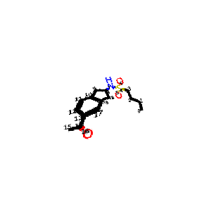 CCCCS(=O)(=O)NC1Cc2ccc(C(C)=O)cc2C1